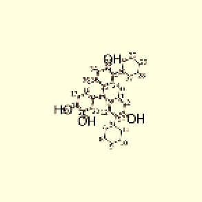 Cc1cc(O)c(C2CCCCC2)cc1C(c1ccc(O)c(O)c1)c1cc(C2CCCCC2)c(O)cc1C